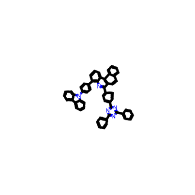 c1ccc(-c2nc(-c3ccccc3)nc(-c3ccc(-c4nc5c(-c6ccc(-n7c8ccccc8c8ccccc87)cc6)cccc5c5c4ccc4ccccc45)cc3)n2)cc1